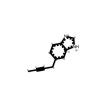 CC#CCc1ccc2nc[nH]c2c1